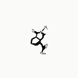 COC(=O)C1=CC2CC3CN(C)C(=O)C(C2)C13